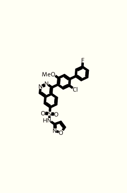 COc1cc(-c2cccc(F)c2)c(Cl)cc1-c1nncc2cc(S(=O)(=O)Nc3ccon3)ccc12